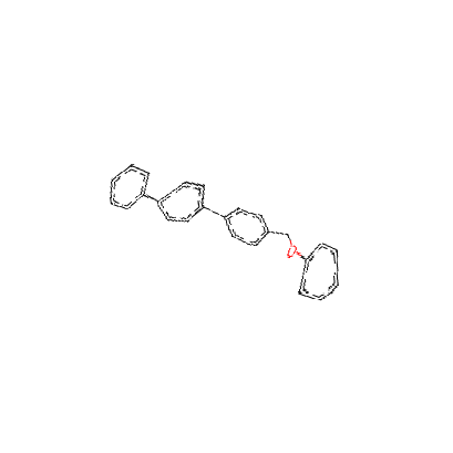 c1ccc(OCc2ccc(-c3ccc(-c4ccccc4)cc3)cc2)cc1